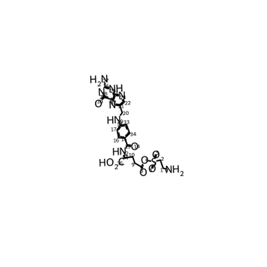 NCCS(=O)(=O)OC(=O)CC[C@H](NC(=O)c1ccc(NCc2cnc3[nH]c(N)nc(=O)c3n2)cc1)C(=O)O